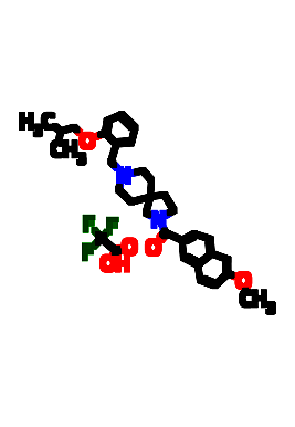 COc1ccc2cc(C(=O)N3CCC4(CCN(Cc5ccccc5OCC(C)C)CC4)C3)ccc2c1.O=C(O)C(F)(F)F